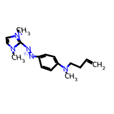 C=CCCN(C)c1ccc(/N=N/c2n(C)cc[n+]2C)cc1